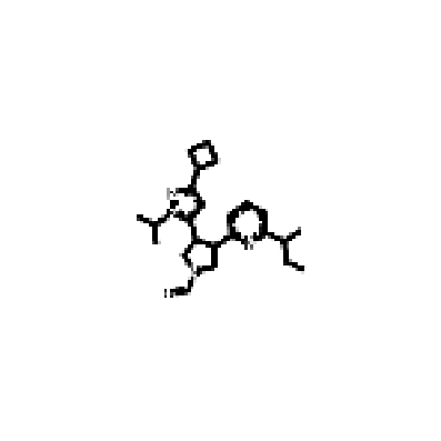 CCC(C)c1cccc(C2CN(C=O)CC2c2cc(C3CCC3)nn2C(C)C)n1